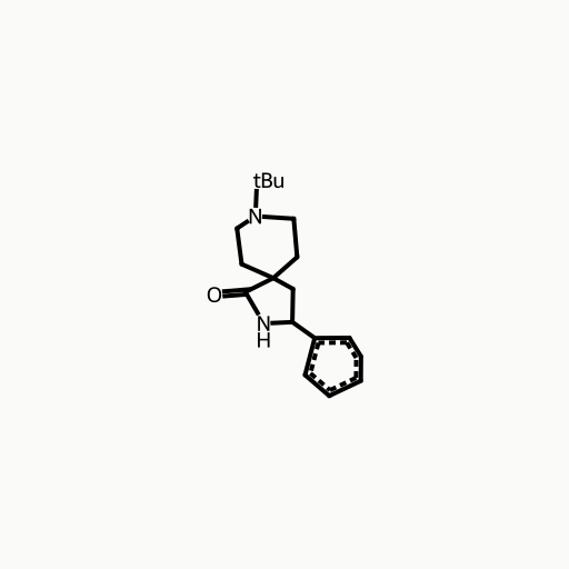 CC(C)(C)N1CCC2(CC1)CC(c1ccccc1)NC2=O